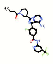 CCCC(=O)N1CCCC(c2nc(-c3ccc(C(=O)Nc4cc(C(F)(F)F)ccn4)cc3F)c3c(N)nccn23)C1